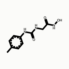 Cc1ccc(NC(=O)NCC(=O)NO)cc1